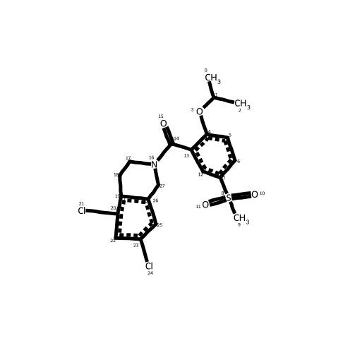 CC(C)Oc1ccc(S(C)(=O)=O)cc1C(=O)N1CCc2c(Cl)cc(Cl)cc2C1